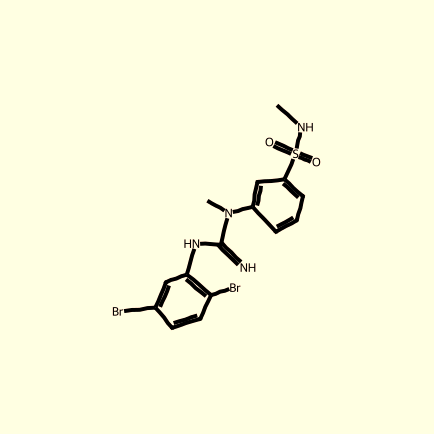 CNS(=O)(=O)c1cccc(N(C)C(=N)Nc2cc(Br)ccc2Br)c1